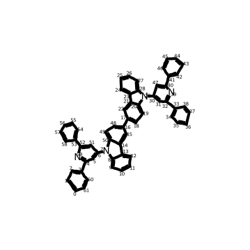 c1ccc(-c2cc(-n3c4ccccc4c4cc(-c5ccc6c(c5)c5ccccc5n6-c5cc(-c6ccccc6)nc(-c6ccccc6)c5)ccc43)cc(-c3ccccc3)n2)cc1